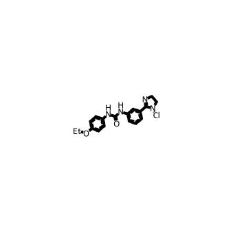 CCOc1ccc(NC(=O)Nc2cccc(C3=NCCN3Cl)c2)cc1